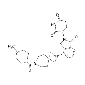 CN1CCC(C(=O)N2CCC3(CC2)CN(c2cccc4c2CN(C2CCC(=O)NC2=O)C4=O)C3)CC1